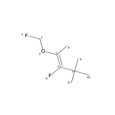 C/C(OCF)=C(/F)C(C)(C)C